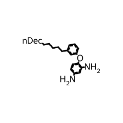 CCCCCCCCCCCCCCCc1cccc(Oc2ccc(N)cc2N)c1